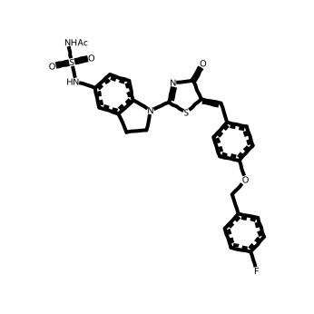 CC(=O)NS(=O)(=O)Nc1ccc2c(c1)CCN2C1=NC(=O)C(=Cc2ccc(OCc3ccc(F)cc3)cc2)S1